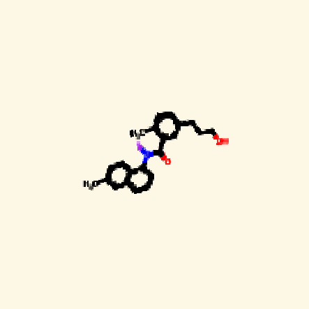 Cc1ccc2c(N(I)C(=O)c3cc(CCCO)ccc3C)cccc2c1